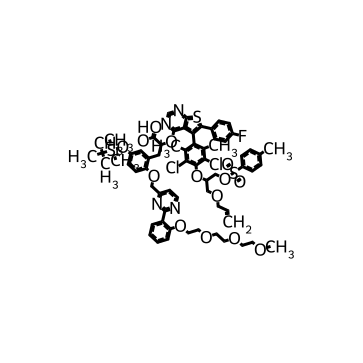 C=CCOCC(COS(=O)(=O)c1ccc(C)cc1)Oc1c(Cl)c(C)c(-c2c(-c3ccc(F)cc3)sc3ncnc(OC(Cc4cc(O[Si](C)(C)C(C)(C)C)ccc4OCc4ccnc(-c5ccccc5OCCOCCOCCOC)n4)C(=O)O)c23)c(C)c1Cl